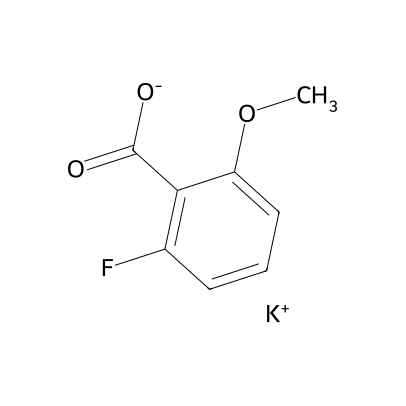 COc1cccc(F)c1C(=O)[O-].[K+]